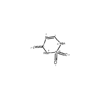 O=C1N=CNS(=O)(=O)N1